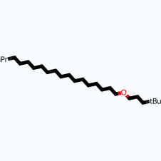 CC(C)CCCCCCCCCCCCCCCCOCCCC(C)(C)C